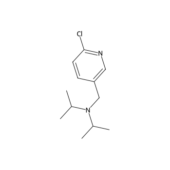 CC(C)N(Cc1ccc(Cl)nc1)C(C)C